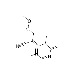 C=C(/N=C\NC)C(C)/C=C(/C#N)COOC